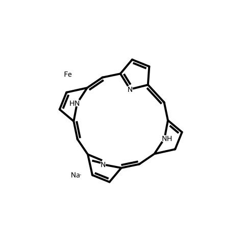 C1=CC2=NC1=CC1=CCC(C=C3C=CC(=N3)C=c3ccc([nH]3)=C2)N1.[Fe].[Na]